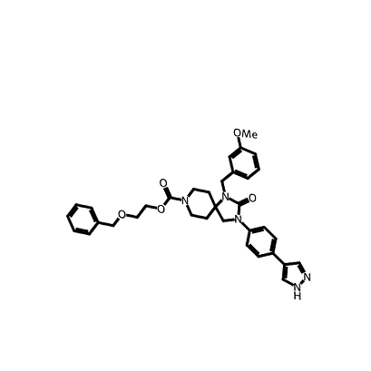 COc1cccc(CN2C(=O)N(c3ccc(-c4cn[nH]c4)cc3)CC23CCN(C(=O)OCCOCc2ccccc2)CC3)c1